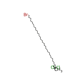 C[Si](Cl)(Cl)CCCCCCCCCCCCCCCCCCCCCCCCCCCCCCCCCBr